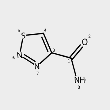 [NH]C(=O)c1csnn1